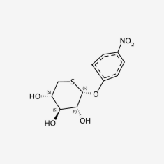 O=[N+]([O-])c1ccc(O[C@H]2SC[C@@H](O)[C@H](O)[C@H]2O)cc1